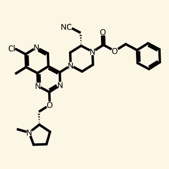 Cc1c(Cl)ncc2c(N3CCN(C(=O)OCc4ccccc4)[C@@H](CC#N)C3)nc(OC[C@@H]3CCCN3C)nc12